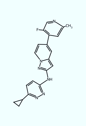 Cc1cc(-c2ccn3nc(Nc4ccc(C5CC5)nn4)cc3c2)c(F)cn1